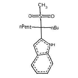 CCCCCC(CCCC)(c1cc2ccccc2[nH]1)S(C)(=O)=O